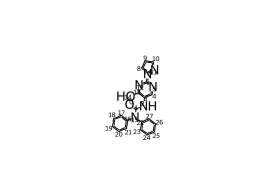 O=C(Nc1cnc(-n2cccn2)nc1O)N(c1ccccc1)c1ccccc1